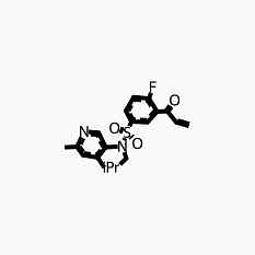 C=CC(=O)c1cc(S(=O)(=O)N(CC(C)C)c2cnc(C)cc2C)ccc1F